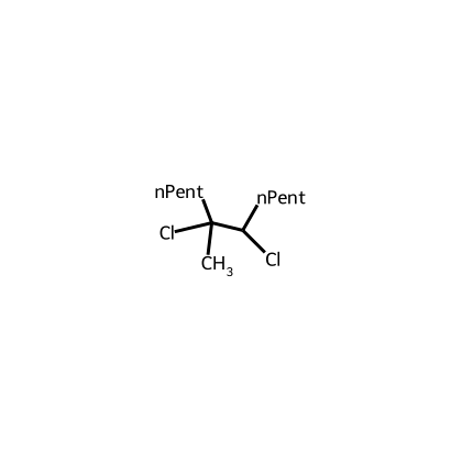 CCCCCC(Cl)C(C)(Cl)CCCCC